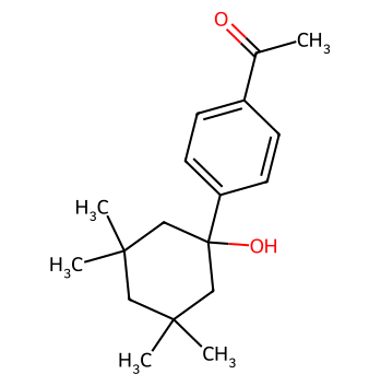 CC(=O)c1ccc(C2(O)CC(C)(C)CC(C)(C)C2)cc1